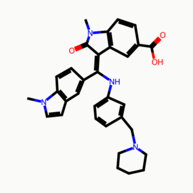 CN1C(=O)C(=C(Nc2cccc(CN3CCCCC3)c2)c2ccc3c(ccn3C)c2)c2cc(C(=O)O)ccc21